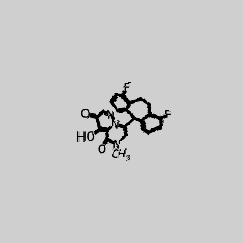 CN1CC(C2c3cccc(F)c3CCc3c(F)cccc32)n2ncc(=O)c(O)c2C1=O